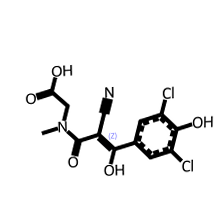 CN(CC(=O)O)C(=O)/C(C#N)=C(\O)c1cc(Cl)c(O)c(Cl)c1